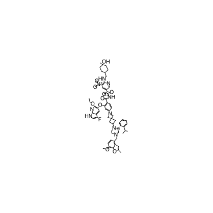 CCOc1nc2[nH]cc(F)c2cc1Oc1cc(N2CC3(CC(N4CCN(Cc5ccc(OC)c6oc(C)cc56)C[C@H]4c4ccccc4C(C)C)C3)C2)ccc1C(=O)NS(=O)(=O)c1cnc(NCC2CCC(C)(O)CC2)c([N+](=O)[O-])c1